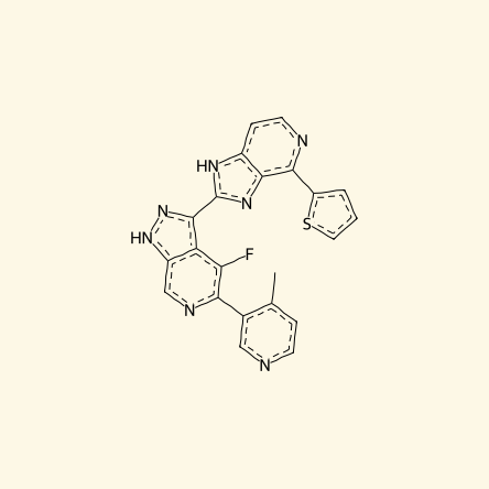 Cc1ccncc1-c1ncc2[nH]nc(-c3nc4c(-c5cccs5)nccc4[nH]3)c2c1F